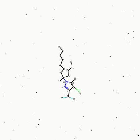 CCCCCCCC(C)(CCCC)n1nc(C(F)F)c(Cl)c1C